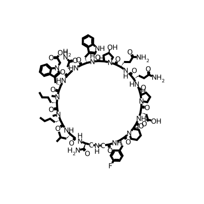 CCCC[C@H]1C(=O)N(C)[C@@H](CCCC)C(=O)N[C@@H](CC(C)C)C(=O)N[C@H](C(N)=O)CNCC(=O)N[C@@H](Cc2ccc(F)cc2)C(=O)N2CCCC[C@H]2C(=O)N[C@@H](CC(=O)O)C(=O)N2CCC[C@H]2C(=O)N[C@@H](CCC(N)=O)C(=O)N[C@@H](CCC(N)=O)C(=O)N2C[C@H](O)C[C@H]2C(=O)N[C@@H](Cc2c[nH]c3ccccc23)C(=O)N[C@@H](CC(N)=O)C(=O)N[C@@H](Cc2cn(CC(=O)O)c3ccccc23)C(=O)N1C